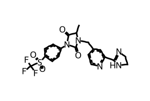 CC1C(=O)N(c2ccc(S(=O)(=O)C(F)(F)F)cc2)C(=O)N1Cc1ccnc(C2=NCCN2)c1